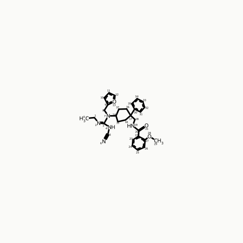 CC/N=C(/NC#N)N(Cc1ccco1)C1CCC(CNC(=O)c2ccccc2OC)(c2ccccc2)CC1